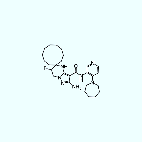 Nc1nn2c(c1C(=O)Nc1cnccc1N1CCCCCC1)NC1(CCCCCCCCC1)C(F)C2